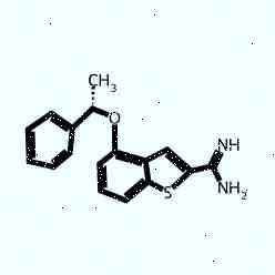 C[C@H](Oc1cccc2sc(C(=N)N)cc12)c1ccccc1